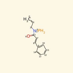 C=CCN(P)C(=O)/C=C/c1ccccc1